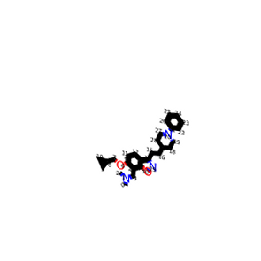 CN(C)Cc1c(OCC2CC2)ccc2c(CCC3CCN(c4ccccc4)CC3)noc12